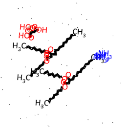 CCCCCCCCCCCCC(CC(=O)OCCCCCCCCC)C(=O)OCCCCCCCCC.CCCCCCCCCCCCC(CC(=O)OCCCCCCCCC)C(=O)OCCCCCCCCC.N.N.N.N.O=C(O)CC(C(=O)O)S(=O)(=O)O